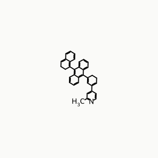 Cc1cc(C2=CCCC(c3c4ccccc4c(C4=c5ccccc5=CCC4)c4ccccc34)=C2)ccn1